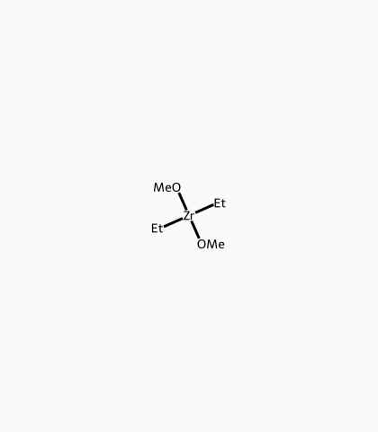 C[CH2][Zr]([CH2]C)([O]C)[O]C